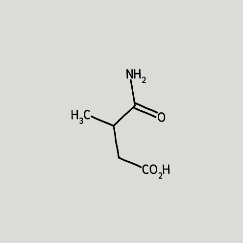 CC(CC(=O)O)C(N)=O